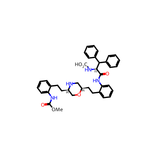 COC(=O)Nc1ccccc1CC[C@@H]1CO[C@H](CCc2ccccc2NC(=O)[C@@H](NC(=O)O)C(c2ccccc2)c2ccccc2)CN1